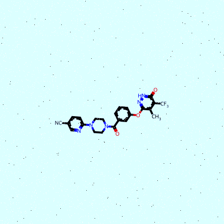 Cc1c(Oc2cccc(C(=O)N3CCN(c4ccc(C#N)cn4)CC3)c2)n[nH]c(=O)c1C(F)(F)F